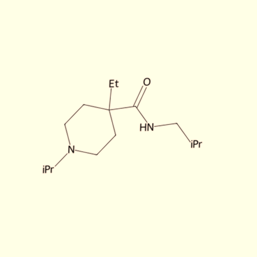 CCC1(C(=O)NCC(C)C)CCN(C(C)C)CC1